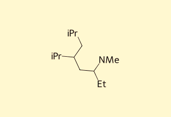 CCC(CC(CC(C)C)C(C)C)NC